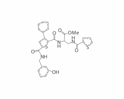 COC(=O)C(CNC(=O)c1cccs1)NC(=O)c1sc(C(=O)NCc2cccc(O)c2)cc1-c1ccccc1